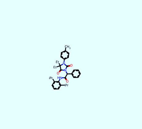 CCC1(CC)C(=O)N(C(C(=O)Nc2c(C(C)C)cccc2C(C)C)c2ccccc2)C(=O)N1c1ccc(C)cc1